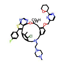 Cc1c2ccc(c1Cl)CN(CCN1CCN(C)CC1)Cc1ccc(OCc3ccnc([C@@H]4CCCCO4)n3)c(c1)C[C@H](C(=O)O)Oc1ncnc3sc(-c4ccc(F)cc4)c-2c13